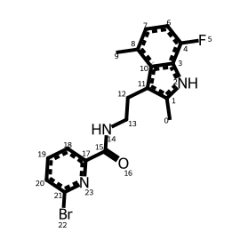 Cc1[nH]c2c(F)ccc(C)c2c1CCNC(=O)c1cccc(Br)n1